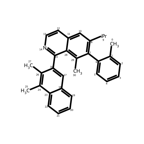 Cc1ccccc1-c1c(C(C)C)cc2ccnc(-c3cc4ccccc4c(C)c3C)c2c1C